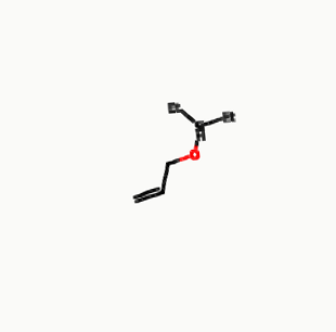 C=CCO[SiH](CC)CC